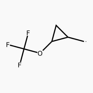 [CH2]C1CC1OC(F)(F)F